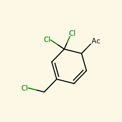 CC(=O)C1C=CC(CCl)=CC1(Cl)Cl